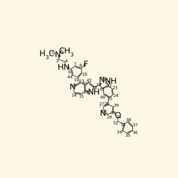 CN(C)CCNc1cc(F)cc(-c2nccc3[nH]c(-c4n[nH]c5ccc(-c6cncc(OCc7ccccc7)c6)cc45)cc23)c1